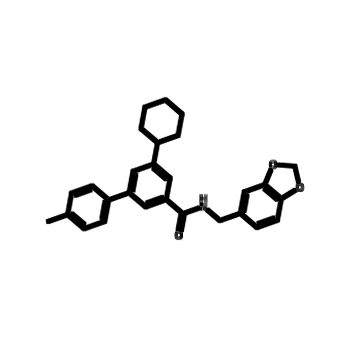 Cc1ccc(-c2cc(C(=O)NCc3ccc4c(c3)OCO4)cc(C3CCCCC3)c2)cc1